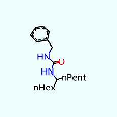 CCCCCCC(CCCCC)NC(=O)NCc1ccccc1